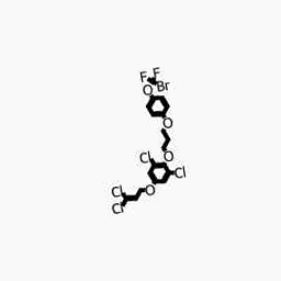 FC(F)(Br)Oc1ccc(OCCCOc2c(Cl)cc(OCC=C(Cl)Cl)cc2Cl)cc1